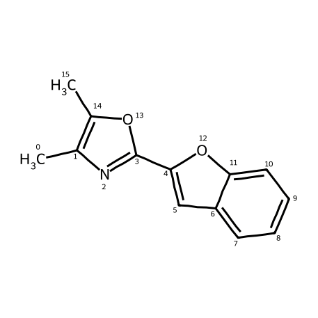 Cc1nc(-c2cc3ccccc3o2)oc1C